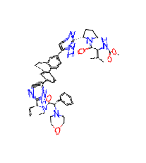 CC[C@@H](c1ncc(-c2ccc3c(c2)CCc2cc(-c4cnc([C@@H]5CCCN5C(=O)[C@@H](NC(=O)OC)C(C)C)[nH]4)ccc2-3)[nH]1)N(CC)C(=O)[C@@H](c1ccccc1)N1CCOCC1